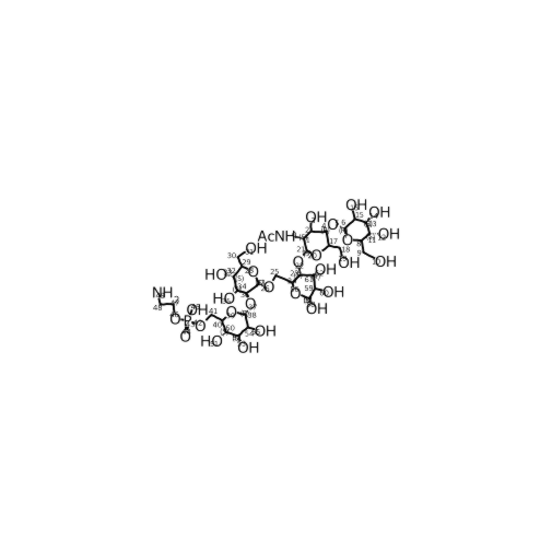 CC(=O)N[C@H]1C(O)[C@@H](O[C@H]2OC(CO)[C@@H](O)[C@H](O)C2O)C(CO)O[C@H]1O[C@@H]1C(CO[C@H]2OC(CO)[C@@H](O)[C@H](O)C2O[C@H]2OC(COP(=O)(O)OCCN)[C@@H](O)[C@H](O)C2O)O[C@H](O)C(O)[C@H]1O